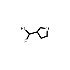 CCC(F)C1CCOC1